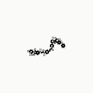 NC(=O)c1c(-c2ccc(Oc3ccccc3)cc2)nn2c1NCC[C@H]2C1CCN(C(=O)CCC2CCC(NC(=O)CNc3ccc4c(c3)C(=O)N(C3CCC(=O)NC3=O)C4=O)CC2)CC1